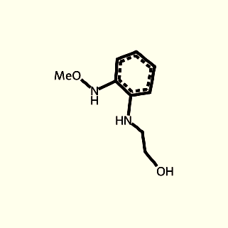 CONc1ccccc1NCCO